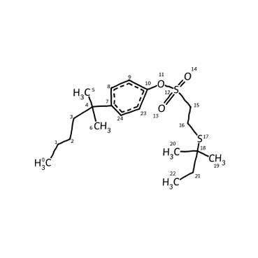 CCCCC(C)(C)c1ccc(OS(=O)(=O)CCSC(C)(C)CC)cc1